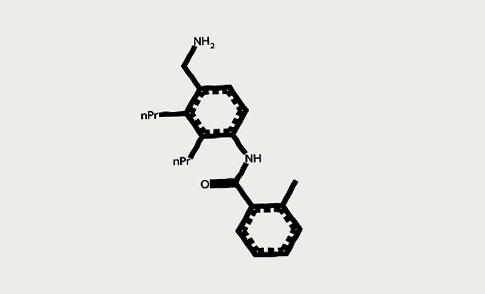 CCCc1c(CN)ccc(NC(=O)c2ccccc2C)c1CCC